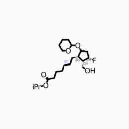 CC(C)OC(=O)CCC/C=C/C[C@@H]1[C@@H](CO)[C@@H](F)C[C@@H]1OC1CCCCO1